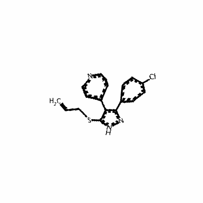 C=CCSc1[nH]nc(-c2ccc(Cl)cc2)c1-c1ccncc1